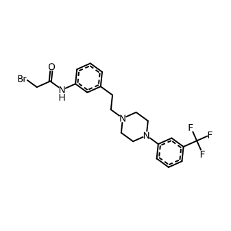 O=C(CBr)Nc1cccc(CCN2CCN(c3cccc(C(F)(F)F)c3)CC2)c1